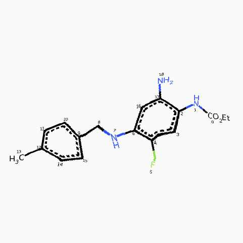 CCOC(=O)Nc1cc(F)c(NCc2ccc(C)cc2)cc1N